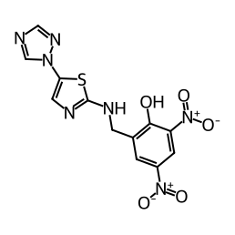 O=[N+]([O-])c1cc(CNc2ncc(-n3cncn3)s2)c(O)c([N+](=O)[O-])c1